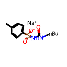 CCCCNC(=O)N=S(=O)([O-])c1ccc(C)cc1.[Na+]